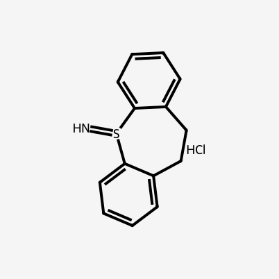 Cl.N=S1c2ccccc2CCc2ccccc21